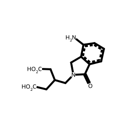 Nc1cccc2c1CN(CC(CC(=O)O)CC(=O)O)C2=O